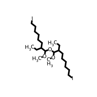 CCC(CCCCCCI)C(OC)OC(OC)C(CC)CCCCCCI